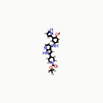 COc1ccc(Nc2ccnc3[nH]c(C4=CCN(C(=O)OC(C)(C)C)CC4)cc23)cc1-c1ccc[nH]1